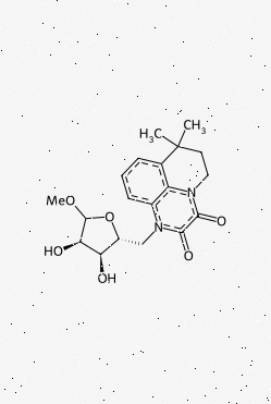 COC1O[C@H](Cn2c(=O)c(=O)n3c4c(cccc42)C(C)(C)CC3)[C@@H](O)[C@H]1O